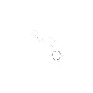 CCc1ccc(N2CCO[C@H](CN3CC(F)C3)C2)cn1